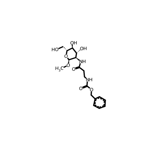 CO[C@H]1O[C@H](CO)[C@@H](O)[C@H](O)[C@H]1NC(=O)CCNC(=O)OCc1ccccc1